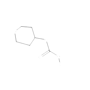 COC(=O)OC1CCOCC1